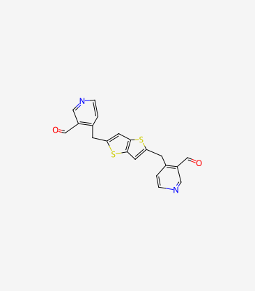 O=Cc1cnccc1Cc1cc2sc(Cc3ccncc3C=O)cc2s1